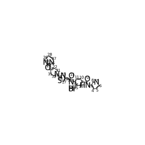 O=C(Nc1cccnc1)c1ccc(NC(=O)c2csc(N3CCC(Oc4ncccn4)CC3)n2)c(Br)c1